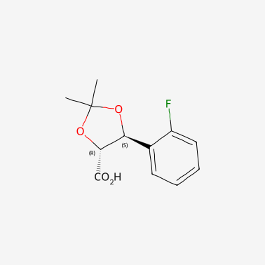 CC1(C)O[C@@H](C(=O)O)[C@H](c2ccccc2F)O1